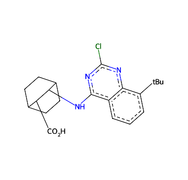 CC(C)(C)c1cccc2c(NC3C4CCC(CC4)C3C(=O)O)nc(Cl)nc12